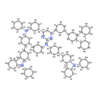 c1ccc(-c2ccc(-c3cccc(-c4cc(-c5cccc(N(c6ccccc6)c6ccc(-c7ccc8c(c7)c7ccccc7n8-c7ccccc7)cc6)c5)nc(N(c5ccccc5)c5ccc(-c6ccc7c(c6)c6ccccc6n7-c6ccccc6)cc5)n4)c3)cc2-c2ccccc2)cc1